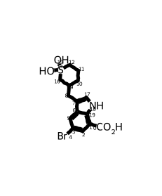 O=C(O)c1cc(Br)cc2c(CC3CCCS(O)(O)C3)c[nH]c12